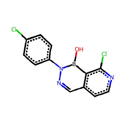 OB1c2c(ccnc2Cl)C=NN1c1ccc(Cl)cc1